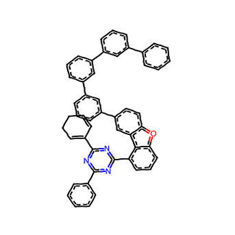 C1=CC(c2nc(-c3ccccc3)nc(-c3cccc4oc5ccc(-c6cccc(-c7cccc(-c8cccc(-c9ccccc9)c8)c7)c6)cc5c34)n2)=CCC1